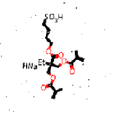 C=C(C)C(=O)OCC(CC)(COC(=O)C(=C)C)C(=O)OCCCCS(=O)(=O)O.[NaH]